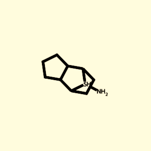 N[SH]1C2CCC1C1CCCC12